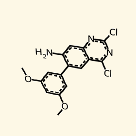 COc1cc(OC)cc(-c2cc3c(Cl)nc(Cl)nc3cc2N)c1